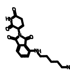 NCCCCCNc1cccc2c1C(=O)N(C1CCC(=O)NC1=O)C2=O